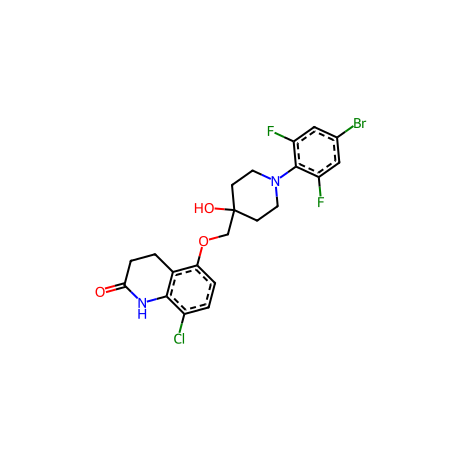 O=C1CCc2c(OCC3(O)CCN(c4c(F)cc(Br)cc4F)CC3)ccc(Cl)c2N1